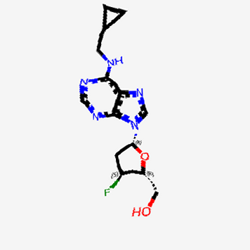 OC[C@H]1O[C@@H](n2cnc3c(NCC4CC4)ncnc32)C[C@@H]1F